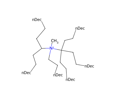 CCCCCCCCCCCCC(CCCCCCCCCCCC)[N+](C)(CCCCCCCCCCCC)C(CCCCCCCCCCCC)(CCCCCCCCCCCC)CCCCCCCCCCCC